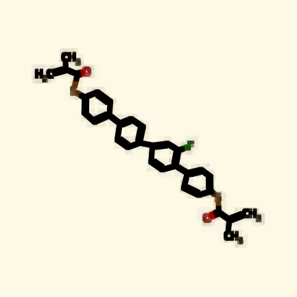 C=C(C)C(=O)Sc1ccc(-c2ccc(-c3ccc(-c4ccc(SC(=O)C(=C)C)cc4)c(F)c3)cc2)cc1